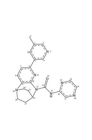 Cc1cncc(-c2ccc3c(n2)N(C(=O)Nc2cnccn2)C2CCN3CC2)c1